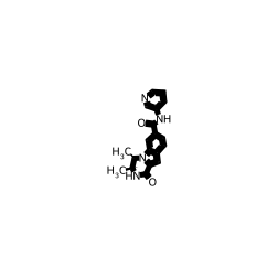 C[C@@H]1NC(=O)c2cc3ccc(C(=O)Nc4cccnc4)cc3n2[C@H]1C